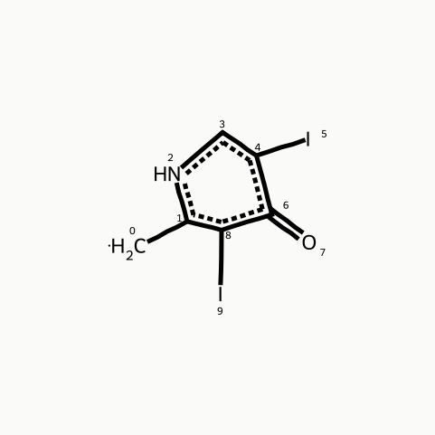 [CH2]c1[nH]cc(I)c(=O)c1I